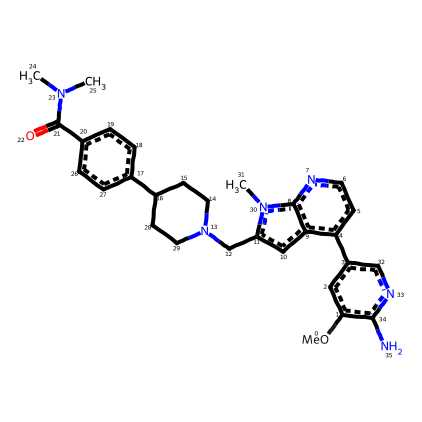 COc1cc(-c2ccnc3c2cc(CN2CCC(c4ccc(C(=O)N(C)C)cc4)CC2)n3C)cnc1N